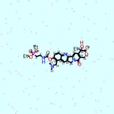 CCOP(=O)(CCNC(=O)Oc1ccc2nc3c(cc2c1CN(C)C)Cn1c-3cc2c(c1=O)COC(=O)[C@]2(O)CC)OCC